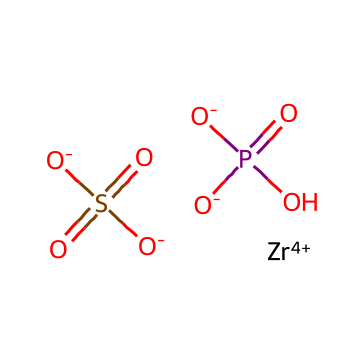 O=P([O-])([O-])O.O=S(=O)([O-])[O-].[Zr+4]